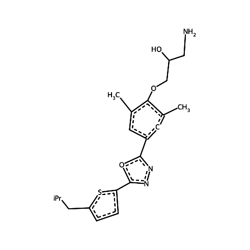 Cc1cc(-c2nnc(-c3ccc(CC(C)C)s3)o2)cc(C)c1OCC(O)CN